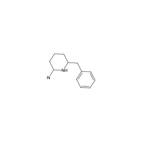 [N]C1CCCC(Cc2ccccc2)N1